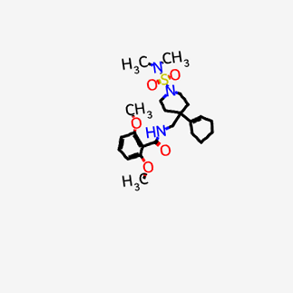 COc1cccc(OC)c1C(=O)NCC1(C2=CCCCC2)CCN(S(=O)(=O)N(C)C)CC1